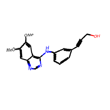 COc1cc2ncnc(Nc3cccc(C#CCO)c3)c2cc1OC